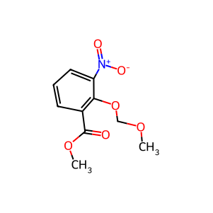 COCOc1c(C(=O)OC)cccc1[N+](=O)[O-]